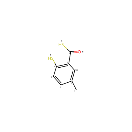 Cc1ccc(S)c(C(=O)S)c1